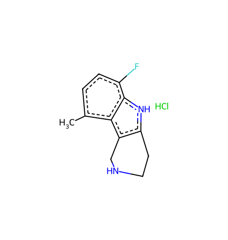 Cc1ccc(F)c2[nH]c3c(c12)CNCC3.Cl